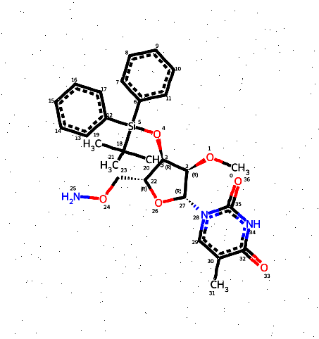 CO[C@@H]1[C@H](O[Si](c2ccccc2)(c2ccccc2)C(C)(C)C)[C@@H](CON)O[C@H]1n1cc(C)c(=O)[nH]c1=O